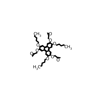 CCCCCOc1cc2c(cc1OCC1CO1)c1cc(OCCCCC)c(OCC3CO3)cc1c1cc(OCCCCC)c(OCC3CO3)cc21